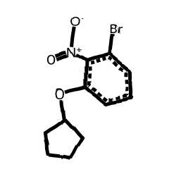 O=[N+]([O-])c1c(Br)cccc1OC1CCCC1